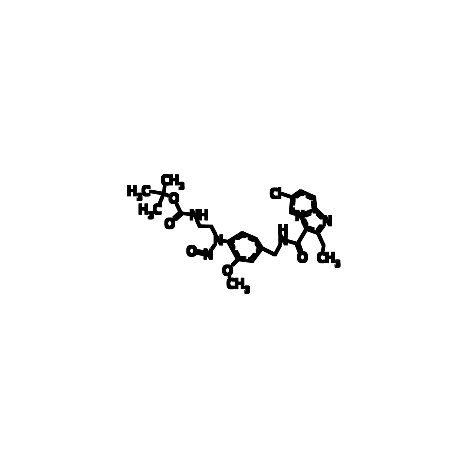 CCc1nc2ccc(Cl)cn2c1C(=O)NCc1ccc(N(CCNC(=O)OC(C)(C)C)N=O)c(OC)c1